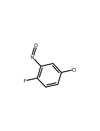 O=Nc1cc(Cl)ccc1F